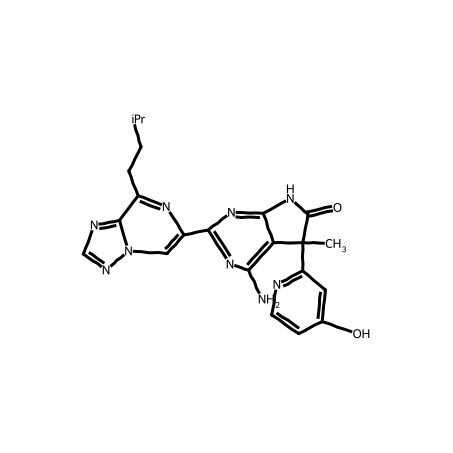 CC(C)CCc1nc(-c2nc(N)c3c(n2)NC(=O)C3(C)c2cc(O)ccn2)cn2ncnc12